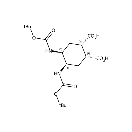 CC(C)(C)OC(=O)N[C@H]1C[C@H](C(=O)O)[C@H](C(=O)O)C[C@H]1NC(=O)OC(C)(C)C